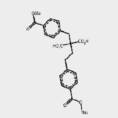 COC(=O)c1ccc(CC(CCc2ccc(C(=O)OC(C)(C)C)cc2)(C(=O)O)C(=O)O)cc1